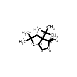 CC(C)(C)CC1(C(C)(C)C)CCOC1=O